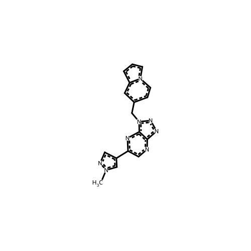 Cn1cc(-c2cnc3nnn(Cc4ccn5cccc5c4)c3n2)cn1